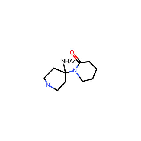 CC(=O)NC1(N2CCCCC2=O)CC[N]CC1